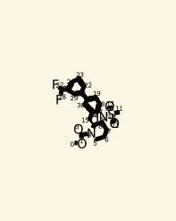 COC(=O)N1CCC[C@H](NS(C)(=O)=O)[C@@H]1Cc1cccc(-c2cccc(C(F)F)c2)c1